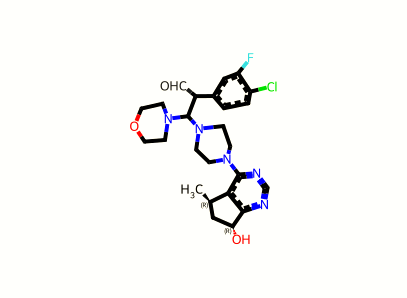 C[C@@H]1C[C@@H](O)c2ncnc(N3CCN(C(C(C=O)c4ccc(Cl)c(F)c4)N4CCOCC4)CC3)c21